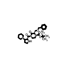 CC(C)(C)OC(=O)N1CCN(C(=O)[C@H]2NCCC2N2CCCCC2)C(=O)[C@H]1COCc1ccccc1